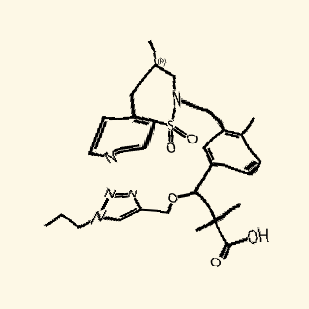 CCCn1cc(COC(c2ccc(C)c(CN3C[C@H](C)Cc4ccncc4S3(=O)=O)c2)C(C)(C)C(=O)O)nn1